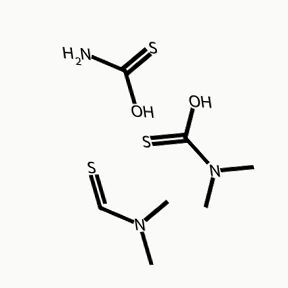 CN(C)C(O)=S.CN(C)C=S.NC(O)=S